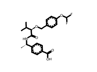 CC(C)[C@@H](OCc1ccc(OC(F)F)cc1)C(=O)N[C@@H](C)c1ccc(C(=O)O)cc1